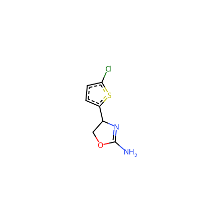 NC1=NC(c2ccc(Cl)s2)CO1